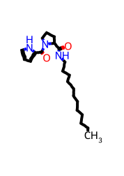 CCCCCCCCCCCCNC(=O)C1CCCN1C(=O)c1ccc[nH]1